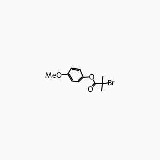 COc1ccc(OC(=O)C(C)(C)Br)cc1